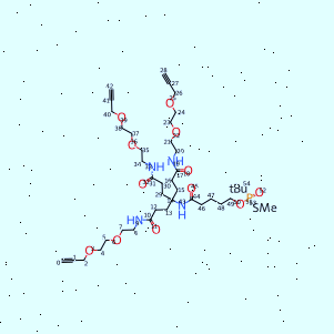 C#CCOCCOCCNC(=O)CCC(CCC(=O)NCCOCCOCC#C)(CCC(=O)NCCOCCOCC#C)NC(=O)CCCCOP(=O)(SC)C(C)(C)C